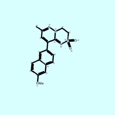 COc1ccc2cc(C3=CC(C)=NN4CCS(=O)(=O)N=C34)ccc2c1